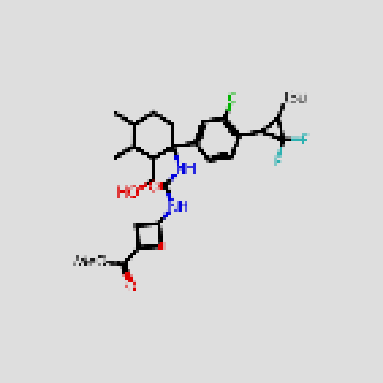 COC(=O)C12CC(NC(=O)NC3(c4ccc(C5C(C(C)(C)C)C5(F)F)c(Cl)c4)CCC(C)C(C)C3CO)(C1)C2